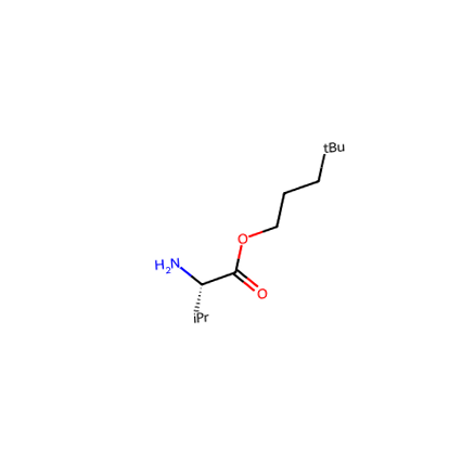 CC(C)[C@H](N)C(=O)OCCCC(C)(C)C